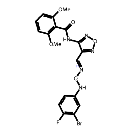 COc1cccc(OC)c1C(=O)Nc1nonc1/C=N/ONc1ccc(F)c(Br)c1